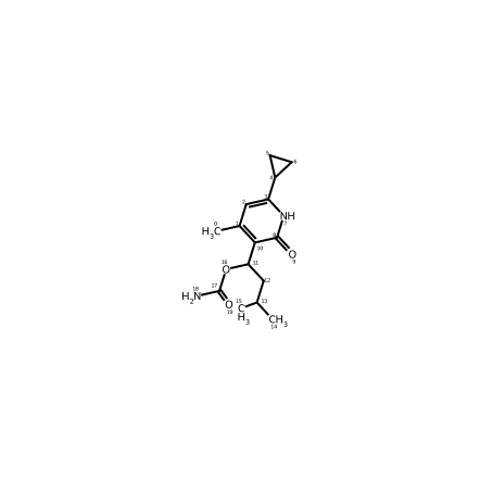 Cc1cc(C2CC2)[nH]c(=O)c1C(CC(C)C)OC(N)=O